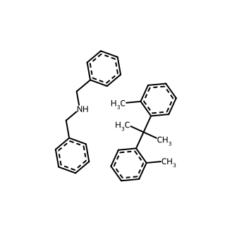 Cc1ccccc1C(C)(C)c1ccccc1C.c1ccc(CNCc2ccccc2)cc1